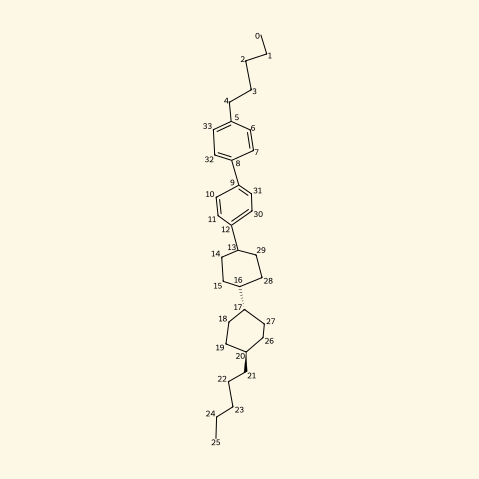 CCCCCc1ccc(-c2ccc(C3CCC([C@H]4CC[C@H](CCCCC)CC4)CC3)cc2)cc1